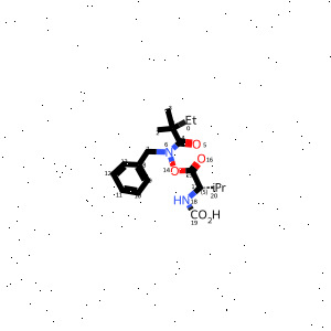 CCC(C)(C)C(=O)N(Cc1ccccc1)OC(=O)[C@@H](NC(=O)O)C(C)C